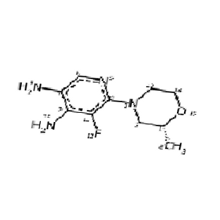 C[C@@H]1CN(c2ncc(N)c(N)c2F)CCO1